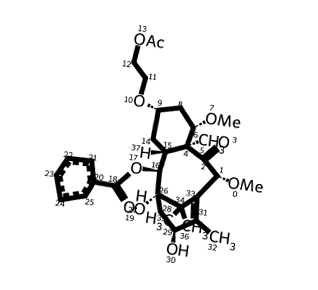 CO[C@H]1C(=O)[C@]2(C)[C@@H](OC)C[C@@H](OCCOC(C)=O)C[C@H]2[C@H](OC(=O)c2ccccc2)[C@]2(O)C[C@H](O)C(C)=C1C2(C)C